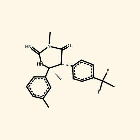 Cc1cccc([C@@]2(C)NC(=N)N(C)C(=O)[C@@H]2c2ccc(C(C)(F)F)cc2)c1